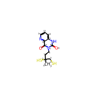 CC(S)(CS)CCn1c(=O)[nH]c2cccnc2c1=O